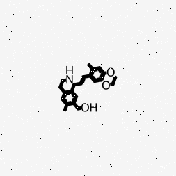 Cc1cc2c(cc1/C=C/C1NCCc3cc(C)c(CO)cc31)OCCO2